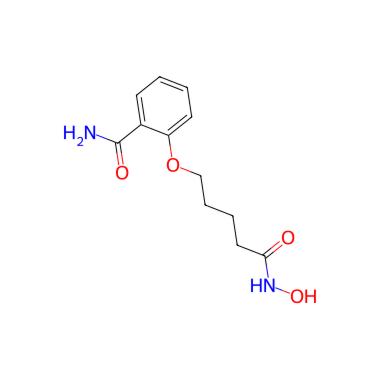 NC(=O)c1ccccc1OCCCCC(=O)NO